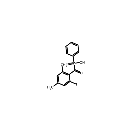 Cc1cc(C)c(C(=O)P(=O)(O)c2ccccc2)c(I)c1